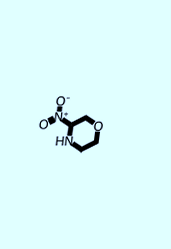 O=[N+]([O-])C1COC[CH]N1